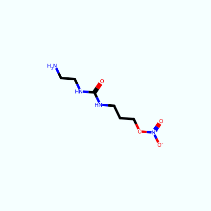 NCCNC(=O)NCCCO[N+](=O)[O-]